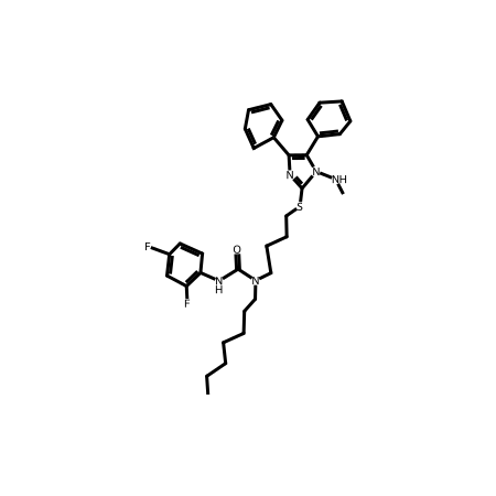 CCCCCCCN(CCCCSc1nc(-c2ccccc2)c(-c2ccccc2)n1NC)C(=O)Nc1ccc(F)cc1F